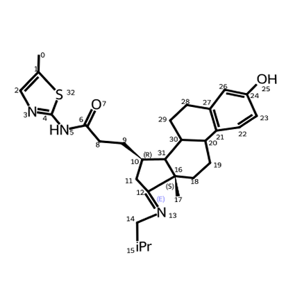 Cc1cnc(NC(=O)CC[C@@H]2C/C(=N\CC(C)C)[C@@]3(C)CCC4c5ccc(O)cc5CCC4C23)s1